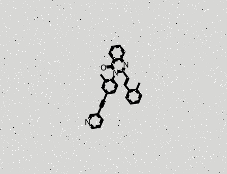 Cc1ccccc1C=Cc1nc2ccccc2c(=O)n1-c1ccc(C#Cc2cccnc2)cc1C